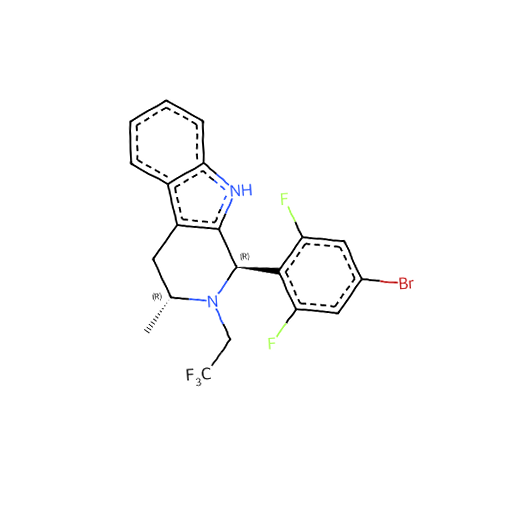 C[C@@H]1Cc2c([nH]c3ccccc23)[C@@H](c2c(F)cc(Br)cc2F)N1CC(F)(F)F